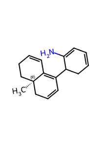 C[C@@]12CC=CC(C3CC=CC=C3N)=C1C=CCC2